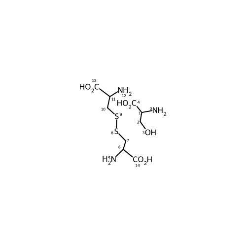 NC(CO)C(=O)O.NC(CSSCC(N)C(=O)O)C(=O)O